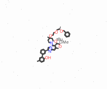 COC(=O)[C@@H](OC(C)(C)C)c1c(C)cc2nc(-c3cccc(-c4cc(C)ccc4O)c3)cn2c1N1CCC(C)(OCCOC[C@@H](C)OCc2ccccc2)CC1